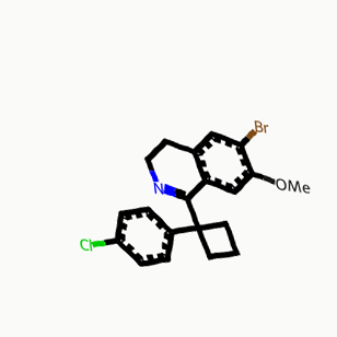 COc1cc2c(cc1Br)CCN=C2C1(c2ccc(Cl)cc2)CCC1